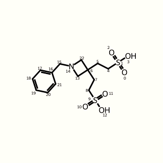 O=S(=O)(O)CCC1(CCS(=O)(=O)O)CN(Cc2ccccc2)C1